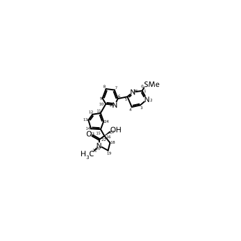 CSc1nccc(-c2cccc(-c3cccc([C@]4(O)CCN(C)C4=O)c3)n2)n1